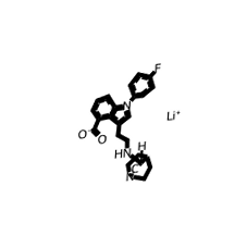 O=C([O-])c1cccc2c1c(CCN[C@H]1CN3CCC1CC3)cn2-c1ccc(F)cc1.[Li+]